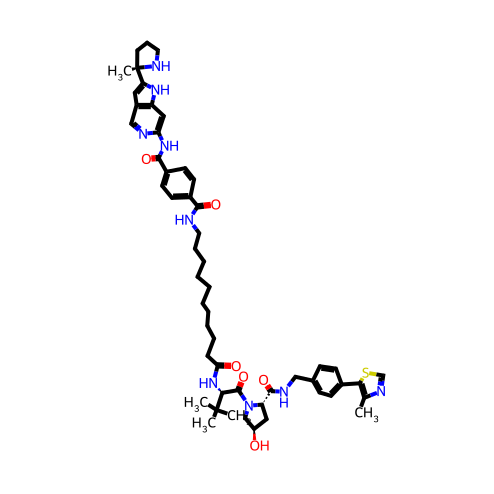 Cc1ncsc1-c1ccc(CNC(=O)[C@@H]2C[C@@H](O)CN2C(=O)[C@@H](NC(=O)CCCCCCCCCCNC(=O)c2ccc(C(=O)Nc3cc4[nH]c([C@]5(C)CCCN5)cc4cn3)cc2)C(C)(C)C)cc1